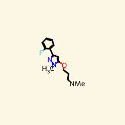 CNCCCOc1cc(-c2ccccc2F)nn1C